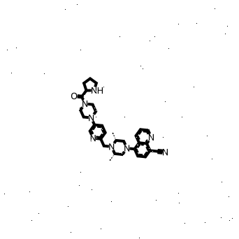 C[C@@H]1CN(c2ccc(C#N)c3ncccc23)C[C@H](C)N1Cc1ccc(N2CCN(C(=O)C3CCCN3)CC2)cn1